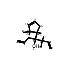 C=CCC(O)(C(C)(C)C=C)C1(C)CC=CC1(C)C